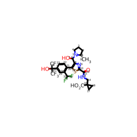 C[C@H]1CCCN1C(O)c1nc(C(=O)NCC2(C(=O)O)CC2)sc1-c1ccc(C(O)(C(F)(F)F)C(F)(F)F)cc1C(F)F